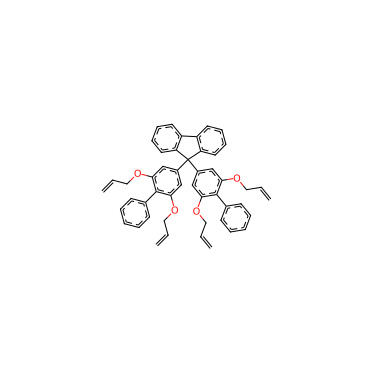 C=CCOc1cc(C2(c3cc(OCC=C)c(-c4ccccc4)c(OCC=C)c3)c3ccccc3-c3ccccc32)cc(OCC=C)c1-c1ccccc1